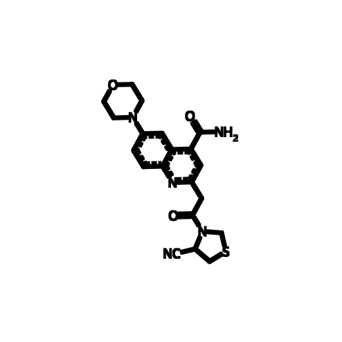 N#CC1CSCN1C(=O)Cc1cc(C(N)=O)c2cc(N3CCOCC3)ccc2n1